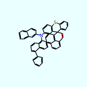 c1ccc(-c2cccc3c(N(c4ccc5c(c4)C4(c6ccccc6S5)c5ccccc5-c5cccc6cccc4c56)c4ccc5ccccc5c4)cccc23)cc1